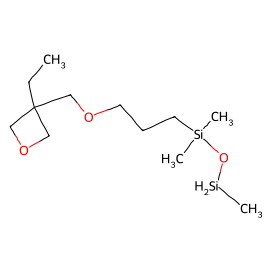 CCC1(COCCC[Si](C)(C)O[SiH2]C)COC1